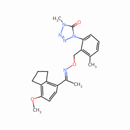 COc1ccc(C(C)=NOCc2c(C)cccc2-n2nnn(C)c2=O)c2c1CCC2